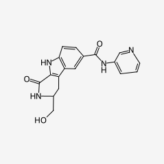 O=C(Nc1cccnc1)c1ccc2[nH]c3c(c2c1)CC(CO)NC3=O